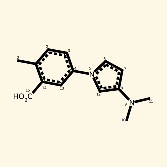 Cc1ccc(-n2ccc(N(C)C)c2)cc1C(=O)O